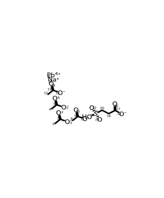 CC(=O)[O-].CC(=O)[O-].CC(=O)[O-].CC(=O)[O-].O=C([O-])CCS(=O)(=O)O.[Na+].[Pb+4]